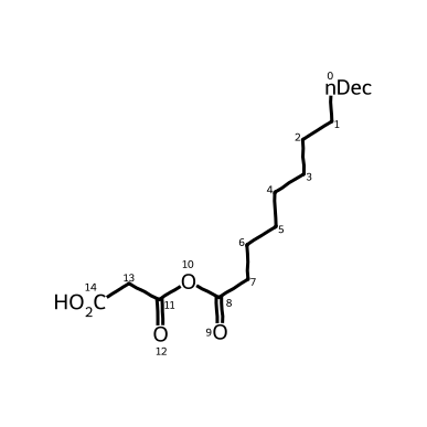 CCCCCCCCCCCCCCCCCC(=O)OC(=O)CC(=O)O